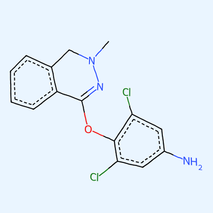 CN1Cc2ccccc2C(Oc2c(Cl)cc(N)cc2Cl)=N1